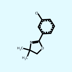 CC1(C)COC(c2cccc(Cl)c2)=N1